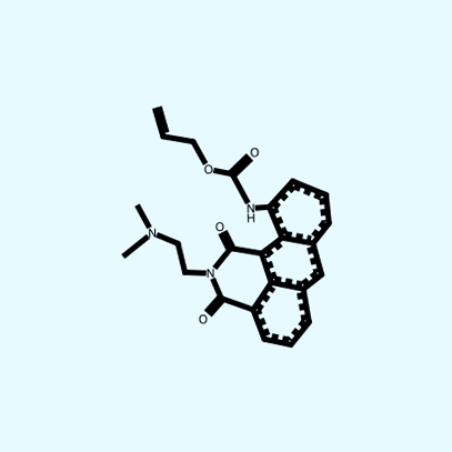 C=CCOC(=O)Nc1cccc2cc3cccc4c3c(c12)C(=O)N(CCN(C)C)C4=O